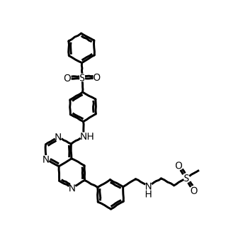 CS(=O)(=O)CCNCc1cccc(-c2cc3c(Nc4ccc(S(=O)(=O)c5ccccc5)cc4)ncnc3cn2)c1